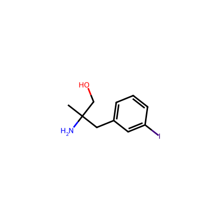 CC(N)(CO)Cc1cccc(I)c1